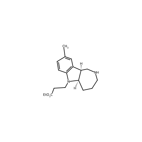 CCOC(=O)CCN1c2ccc(C)cc2[C@H]2CNCCC[C@H]21